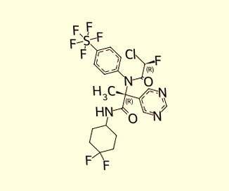 C[C@](C(=O)NC1CCC(F)(F)CC1)(c1cncnc1)N(C(=O)[C@H](F)Cl)c1ccc(S(F)(F)(F)(F)F)cc1